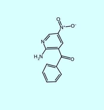 Nc1ncc([N+](=O)[O-])cc1C(=O)c1ccccc1